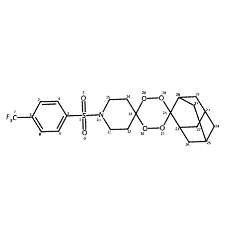 O=S(=O)(c1ccc(C(F)(F)F)cc1)N1CCC2(CC1)OOC1(OO2)C2CC3CC(C2)CC1C3